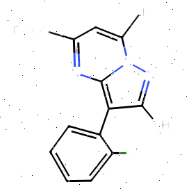 CCOC(=O)c1cc(C(C)C)n2nc(C)c(-c3ccccc3Cl)c2n1